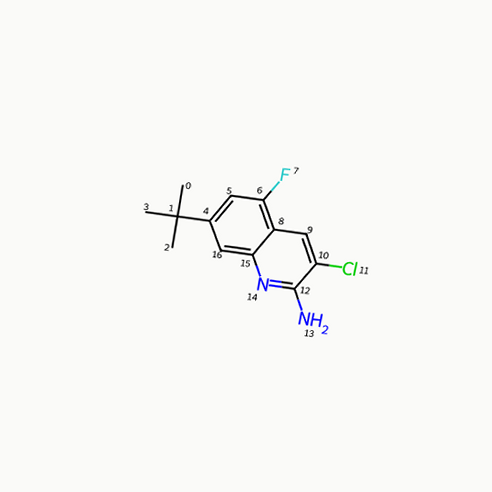 CC(C)(C)c1cc(F)c2cc(Cl)c(N)nc2c1